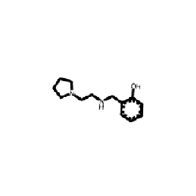 Oc1ccccc1CNCCN1CCCC1